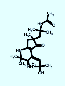 CC(=O)NC(C)(C)CC1(C)CC2=C(C1=O)C(=CC(C)(C)O)C(=N)C(C)(C)N2